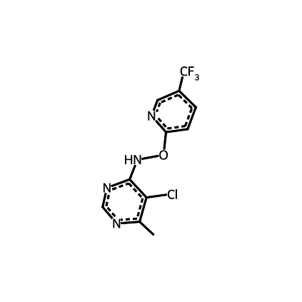 Cc1ncnc(NOc2ccc(C(F)(F)F)cn2)c1Cl